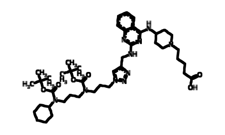 CC(C)(C)OC(=O)N(CCCN(C(=O)OC(C)(C)C)C1CCCCC1)CCCn1cc(CNc2nc(NC3CCN(CCCCC(=O)O)CC3)c3ccccc3n2)nn1